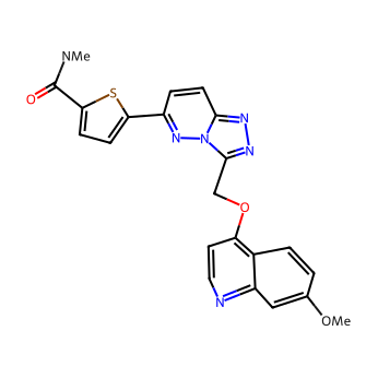 CNC(=O)c1ccc(-c2ccc3nnc(COc4ccnc5cc(OC)ccc45)n3n2)s1